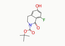 CC(C)(C)OC(=O)N1CCc2cc(O)cc(F)c2C1=O